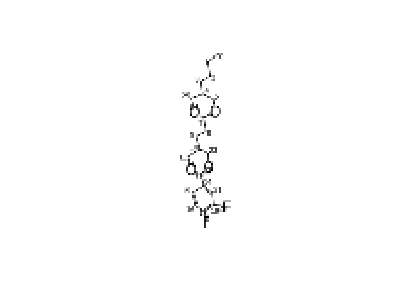 CCCCC1COC(CCC2COC(c3ccc(F)c(F)c3)OC2)OC1